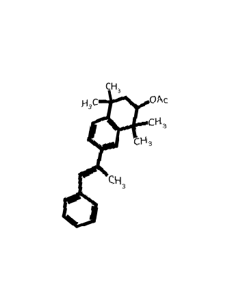 CC(=O)OC1CC(C)(C)c2ccc(/C(C)=C/c3ccccc3)cc2C1(C)C